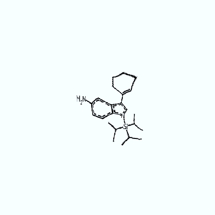 CC(C)[Si](C(C)C)(C(C)C)n1cc(C2=CCCCC2)c2cc(N)ccc21